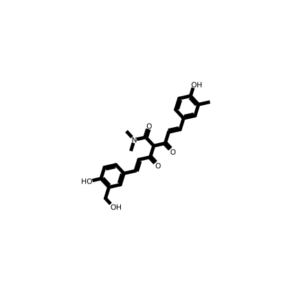 Cc1cc(/C=C/C(=O)C(C(=O)/C=C/c2ccc(O)c(CO)c2)C(=O)N(C)C)ccc1O